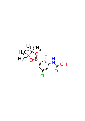 CC1(C)OB(c2cc(Cl)cc(NC(=O)O)c2F)OC1(C)C